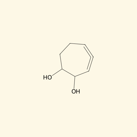 OC1C=C=CCCC1O